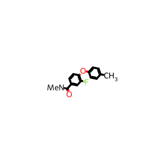 CNC(=O)c1ccc(Oc2ccc(C)cc2)c(F)c1